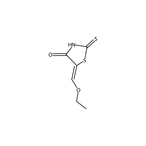 CCOC=C1SC(=S)NC1=O